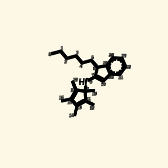 CCCCCCC1[C]([Hf][C]2(C)C(C)=C(C)C(C)=C2C)=Cc2ccccc21